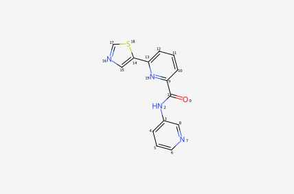 O=C(Nc1cccnc1)c1cccc(-c2cncs2)n1